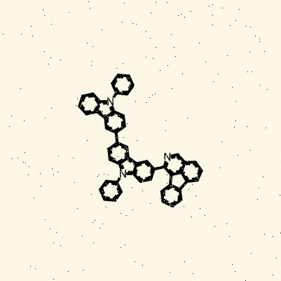 c1ccc(-n2c3ccccc3c3cc(-c4ccc5c(c4)c4cc(-c6ncc7cccc8c7c6-c6ccccc6-8)ccc4n5-c4ccccc4)ccc32)cc1